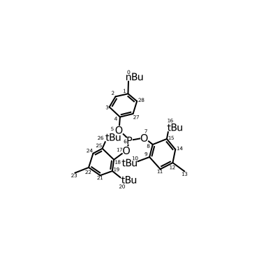 CCCCc1ccc(OP(Oc2c(C(C)(C)C)cc(C)cc2C(C)(C)C)Oc2c(C(C)(C)C)cc(C)cc2C(C)(C)C)cc1